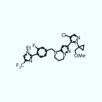 CCn1cc(C(F)(F)F)nc1-c1ccc(CN2CCCn3nc(-c4c(Cl)cnn4C4(COC)CC4)cc32)cc1F